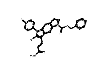 COC(=O)/C=C/c1c(C(C)C)n(-c2ccc(F)cc2)c2cc3cnn(C(=O)OCc4ccccc4)c3cc12